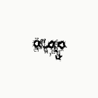 C[C@H](CN1CCCC1)N1c2ccccc2Sc2ccc(C(=O)NCc3c(Cl)cccc3Cl)cc21